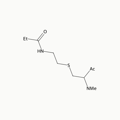 CCC(=O)NCCSCC(NC)C(C)=O